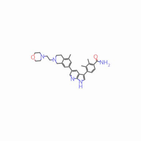 Cc1cc(-c2cnc3[nH]cc(-c4ccc(C(N)=O)c(C)c4C)c3c2)cc2c1CCN(CCN1CCOCC1)C2